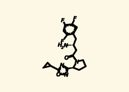 N[C@@H](CC(=O)N1CCC[C@H]1c1noc(C2CC2)n1)Cc1cc(F)c(F)cc1F